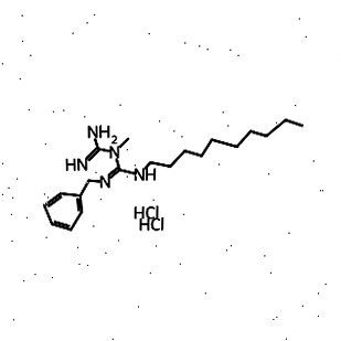 CCCCCCCCCCNC(=NCc1ccccc1)N(C)C(=N)N.Cl.Cl